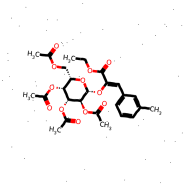 CCOC(=O)/C(=C/c1cccc(C)c1)O[C@H]1O[C@@H](COC(C)=O)[C@@H](OC(C)=O)[C@@H](OC(C)=O)[C@@H]1OC(C)=O